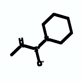 CN[S+]([O-])N1CCCCC1